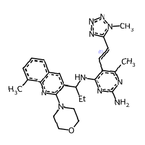 CCC(Nc1nc(N)nc(C)c1/C=C/c1nnnn1C)c1cc2cccc(C)c2nc1N1CCOCC1